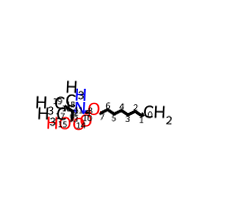 C=CCCCCCCOC(=O)NC(C(=O)O)C(C)(C)C